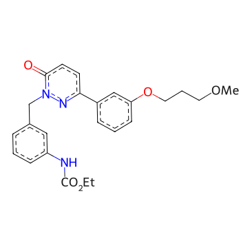 CCOC(=O)Nc1cccc(Cn2nc(-c3cccc(OCCCOC)c3)ccc2=O)c1